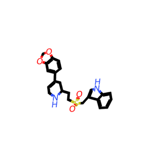 O=S(=O)(CCC1CC(c2ccc3c(c2)OCO3)=CCN1)Cc1c[nH]c2ccccc12